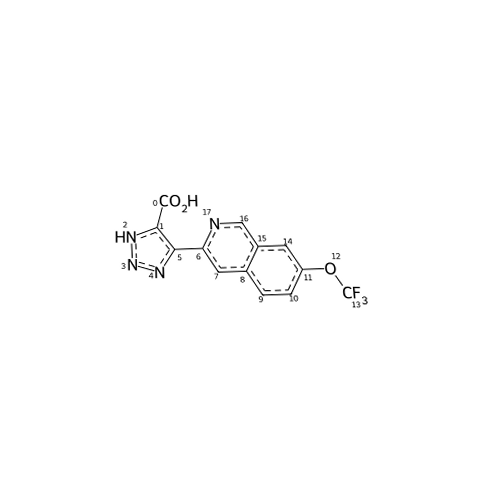 O=C(O)c1[nH]nnc1-c1cc2ccc(OC(F)(F)F)cc2cn1